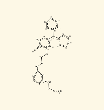 O=C(O)COc1cccc(SCCCn2nc(C(c3ccccc3)c3ccccc3)ccc2=O)c1